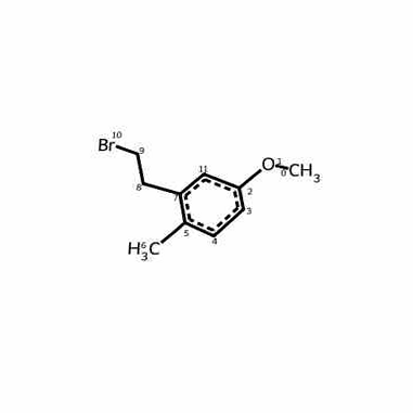 COc1ccc(C)c(CCBr)c1